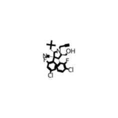 C#CCN1[C@@H](CC(C)(C)C)[C@](C#N)(c2ccc(Cl)cc2F)[C@@H](c2cccc(Cl)c2F)[C@@H]1CO